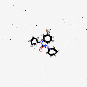 O=c1n(-c2ccccc2)c2ccc(Br)cc2n1-c1ccccc1